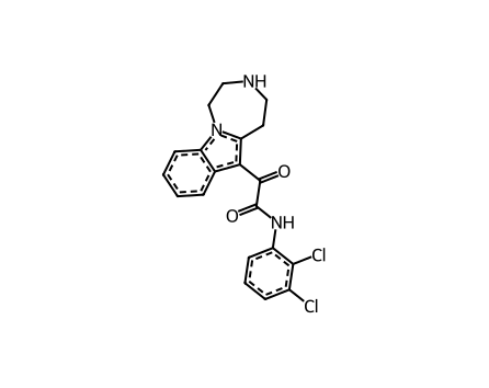 O=C(Nc1cccc(Cl)c1Cl)C(=O)c1c2n(c3ccccc13)CCNCC2